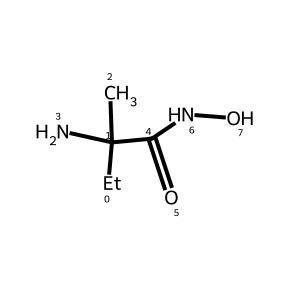 CCC(C)(N)C(=O)NO